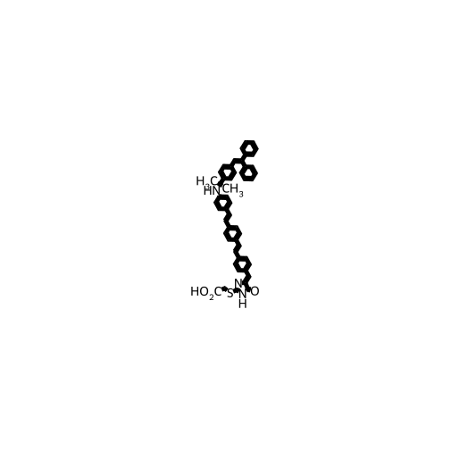 CC(C)(Nc1ccc(/C=C/c2ccc(/C=C/c3ccc(/C=C4\N=C(SCC(=O)O)NC4=O)cc3)cc2)cc1)c1ccc(C=C(c2ccccc2)c2ccccc2)cc1